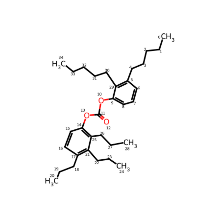 CCCCCc1cccc(OC(=O)Oc2ccc(CCC)c(CCC)c2CCC)c1CCCCC